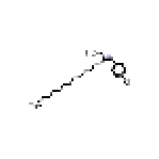 CCCCCCCCCCCCS/C(=C\c1ccc(Cl)cc1)CO